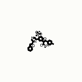 CNC(=O)c1c(-c2ccc(C)cc2)oc2cc(N(C)S(C)(=O)=O)c(-c3cncc(-c4cc5ccccc5o4)n3)cc12